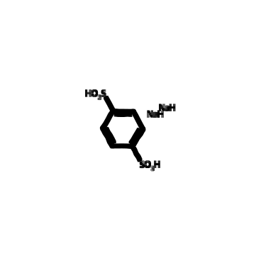 O=S(=O)(O)c1ccc(S(=O)(=O)O)cc1.[NaH].[NaH]